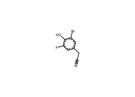 N#CCc1cc(F)c(O)c(Br)c1